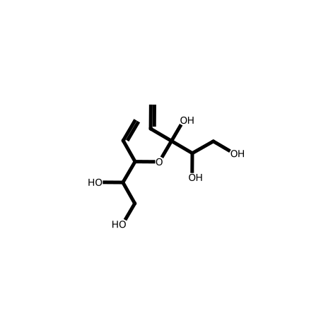 C=CC(OC(O)(C=C)C(O)CO)C(O)CO